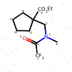 CCOC(=O)C1(CN(C)C(=O)C(F)(F)F)CCCC1